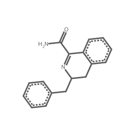 NC(=O)C1=NC(Cc2ccccc2)Cc2ccccc21